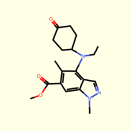 CCN(c1c(C)c(C(=O)OC)cc2c1cnn2C)C1CCC(=O)CC1